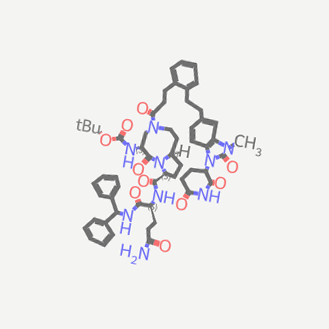 Cn1c(=O)n(C2CCC(=O)NC2=O)c2ccc(CCc3ccccc3CCC(=O)N3CC[C@H]4CC[C@@H](C(=O)N[C@@H](CCC(N)=O)C(=O)NC(c5ccccc5)c5ccccc5)N4C(=O)[C@@H](NC(=O)OC(C)(C)C)C3)cc21